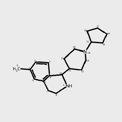 Cc1ccc2c(c1)CCNC2C1CCN(C2CCCC2)CC1